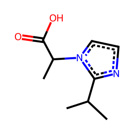 CC(C)c1nccn1C(C)C(=O)O